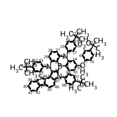 CC(C)(C)c1ccc(Oc2ccc3c(c2)N(c2ccc(C(C)(C)C)cc2)c2cccc4c2B3c2c(c3c5sc6ccccc6c5ccc3n2-c2ccc(C(C)(C)C)cc2)N4c2ccc(C(C)(C)C)cc2)cc1